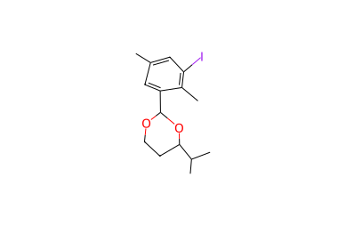 Cc1cc(I)c(C)c(C2OCCC(C(C)C)O2)c1